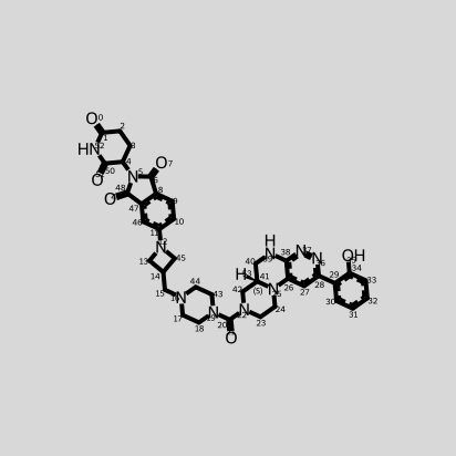 O=C1CCC(N2C(=O)c3ccc(N4CC(CN5CCN(C(=O)N6CCN7c8cc(-c9ccccc9O)nnc8NC[C@H]7C6)CC5)C4)cc3C2=O)C(=O)N1